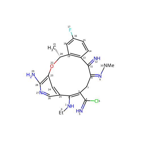 CCN/C1=C(\C(=N)Cl)C/C(=N/NC)C(=N)c2ccc(F)cc2[C@@H](C)Oc2cc1cnc2N